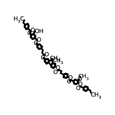 CCCc1ccc(C(=O)Oc2ccc(C(=O)Oc3ccc(CCC(=O)Oc4ccc5c(c4)C(C)(C)c4cc(OC(=O)CCc6ccc(OC(=O)c7ccc(OC(=O)c8ccc(CCC)cc8)c(OC)c7)cc6)ccc4-5)cc3)cc2CO)cc1